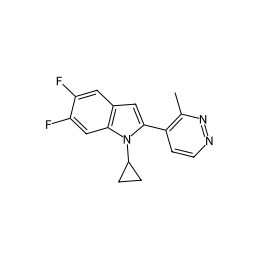 Cc1nnccc1-c1cc2cc(F)c(F)cc2n1C1CC1